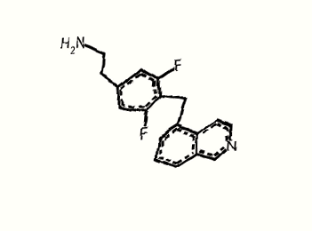 NCCc1cc(F)c(Cc2cccc3cnccc23)c(F)c1